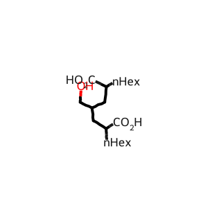 CCCCCCC(CC(CO)CC(CCCCCC)C(=O)O)C(=O)O